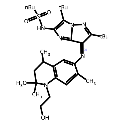 CCCCS(=O)(=O)Nc1nc2n(c1C(C)(C)C)N=C(C(C)(C)C)/C2=N/c1cc2c(cc1C)N(CCO)C(C)(C)CC2C